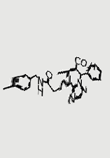 CC1=C(C(=O)O)C(c2ccccc2)n2ncnc2N1CC(=O)NCc1ccc(C)cc1